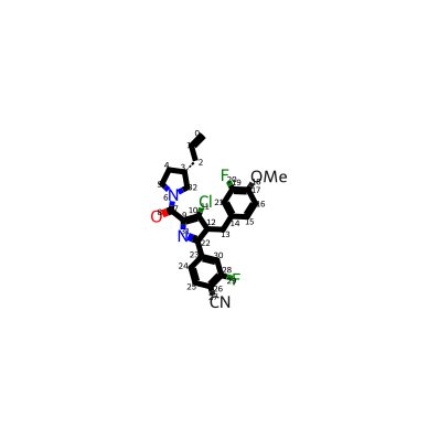 C=CC[C@H]1CCN(C(=O)C2=C(Cl)C(Cc3ccc(OC)c(F)c3)C(c3ccc(C#N)c(F)c3)=N2)C1